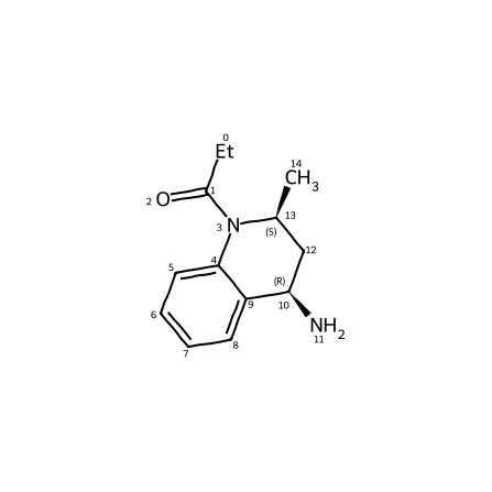 CCC(=O)N1c2ccccc2[C@H](N)C[C@@H]1C